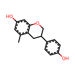 Cc1cc(O)cc2c1CC(c1ccc(O)cc1)CO2